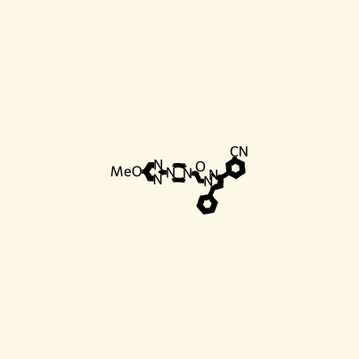 COc1cnc(N2CCN(C(=O)Cn3nc(-c4cccc(C#N)c4)cc3-c3ccccc3)CC2)nc1